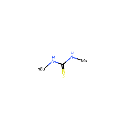 CCCCNC(=S)NC(C)(C)C